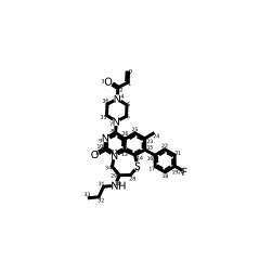 C=CC(=O)N1CCN(c2nc(=O)n3c4c(c(-c5ccc(F)cc5)c(C)cc24)SCC(NCCC)C3)CC1